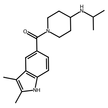 Cc1[nH]c2ccc(C(=O)N3CCC(NC(C)C)CC3)cc2c1C